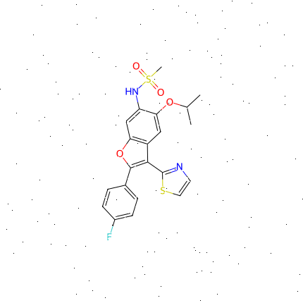 CC(C)Oc1cc2c(-c3nccs3)c(-c3ccc(F)cc3)oc2cc1NS(C)(=O)=O